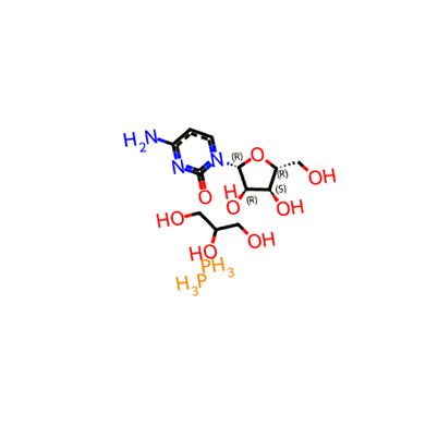 Nc1ccn([C@@H]2O[C@H](CO)[C@@H](O)[C@H]2O)c(=O)n1.OCC(O)CO.P.P